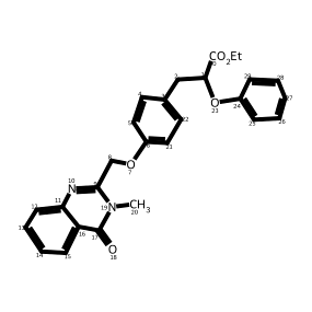 CCOC(=O)C(Cc1ccc(OCc2nc3ccccc3c(=O)n2C)cc1)Oc1ccccc1